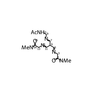 CNC(=O)CN=CC(C=NCNC(C)=O)C=NCC(=O)NC